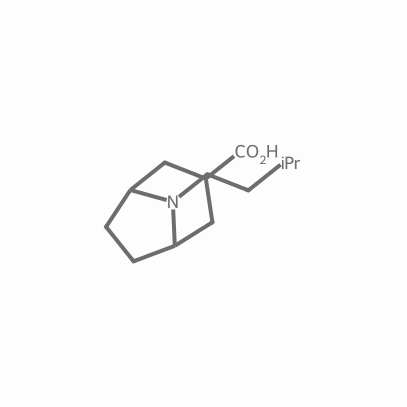 CC(C)CCN1C2CCC1CC(C(=O)O)C2